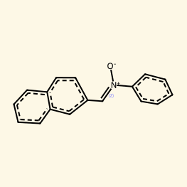 [O-]/[N+](=C\c1ccc2ccccc2c1)c1ccccc1